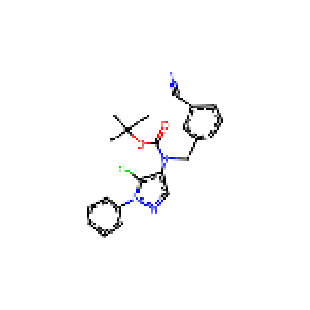 CC(C)(C)OC(=O)N(Cc1cccc(C#N)c1)c1cnn(-c2ccccc2)c1Cl